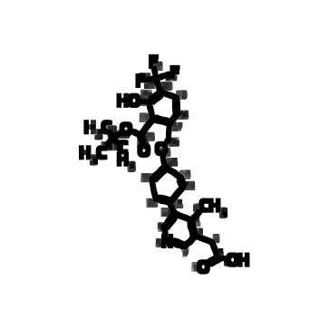 Cc1c(CC(=O)O)cncc1-c1ccc(OCc2ccc(C(F)(F)F)c(O)c2C(=O)OC(C)(C)C)cc1